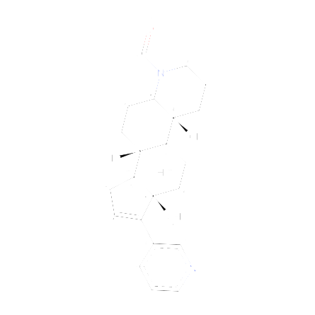 C[C@]12CCCN(C=O)C1CC[C@@H]1C2CC[C@]2(C)C(c3cccnc3)=CC[C@@H]12